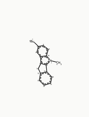 Cn1c2c(c3cc(C(C)(C)C)ccc31)Cc1ccccc1-2